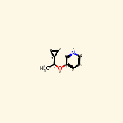 CC(Oc1c[c]cnc1)C1CC1